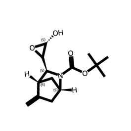 C=C1C[C@@H]2C[C@H]1[C@@H](C1O[C@@H]1O)N2C(=O)OC(C)(C)C